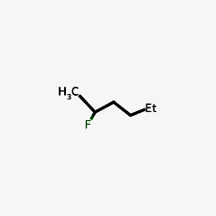 [CH2]CCCC(C)F